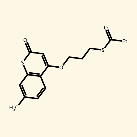 CCC(=O)SCCCOc1cc(=O)sc2cc(C)ccc12